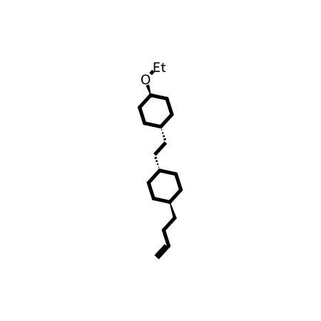 C=CCC[C@H]1CC[C@H](CC[C@H]2CC[C@H](OCC)CC2)CC1